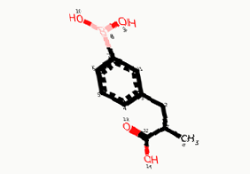 CC(Cc1cccc(B(O)O)c1)C(=O)O